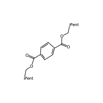 CCCC(C)COC(=O)c1ccc(C(=O)OCC(C)CCC)cc1